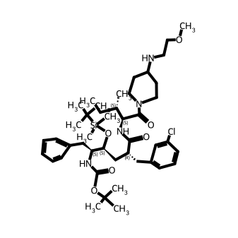 CC[C@H](C)[C@H](NC(=O)[C@H](Cc1cccc(Cl)c1)C[C@H](O[Si](C)(C)C(C)(C)C)[C@H](Cc1ccccc1)NC(=O)OC(C)(C)C)C(=O)N1CCC(NCCOC)CC1